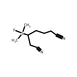 CS(C)(F)C(CC#N)CCCC#N